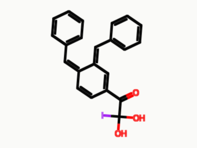 O=C(c1ccc(=Cc2ccccc2)c(=Cc2ccccc2)c1)C(O)(O)I